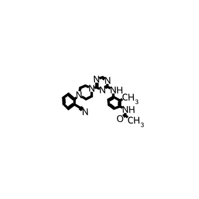 CC(=O)Nc1cccc(Nc2ncnc(N3CCN(c4ccccc4C#N)CC3)n2)c1C